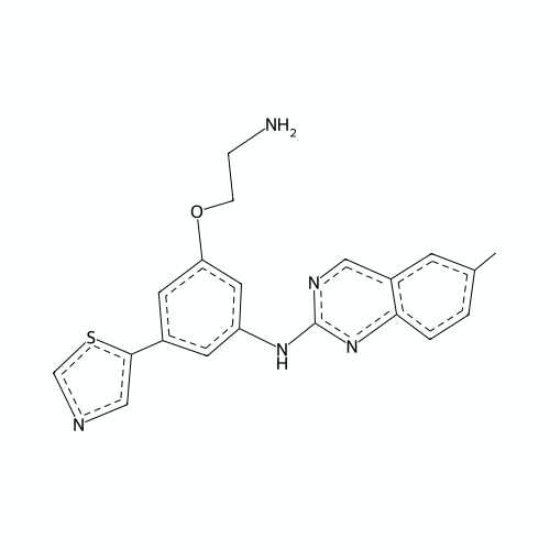 Cc1ccc2nc(Nc3cc(OCCN)cc(-c4cncs4)c3)ncc2c1